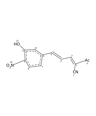 CC(=O)/C(C#N)=C/C=C/c1ccc([N+](=O)[O-])c(O)c1